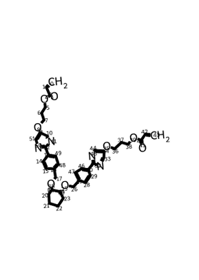 C=CC(=O)OCCCOc1cnc(-c2ccc(CO[C@@H]3CCCC[C@H]3OCc3ccc(-c4ncc(OCCCOC(=O)C=C)cn4)cc3)cc2)nc1